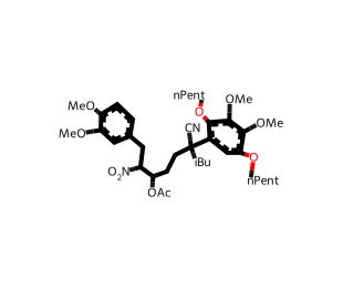 CCCCCOc1cc(C(C#N)(CCC(OC(C)=O)C(Cc2ccc(OC)c(OC)c2)[N+](=O)[O-])C(C)CC)c(OCCCCC)c(OC)c1OC